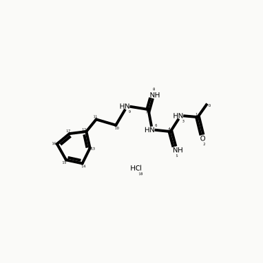 CC(=O)NC(=N)NC(=N)NCCc1ccccc1.Cl